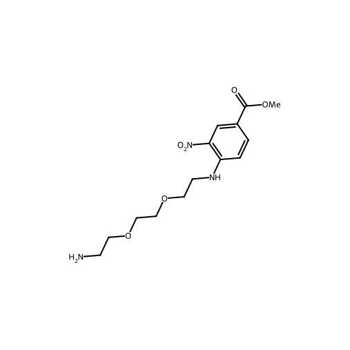 COC(=O)c1ccc(NCCOCCOCCN)c([N+](=O)[O-])c1